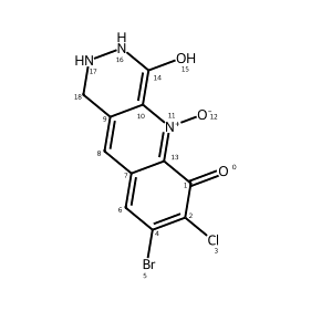 O=C1C(Cl)=C(Br)C=c2cc3c([n+]([O-])c21)=C(O)NNC3